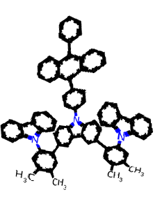 Cc1cc(-c2ccc3c(c2)c2cc(-c4cc(C)c(C)cc4-n4c5ccccc5c5ccccc54)ccc2n3-c2ccc(-c3c4ccccc4c(-c4ccccc4)c4ccccc34)cc2)c(-n2c3ccccc3c3ccccc32)cc1C